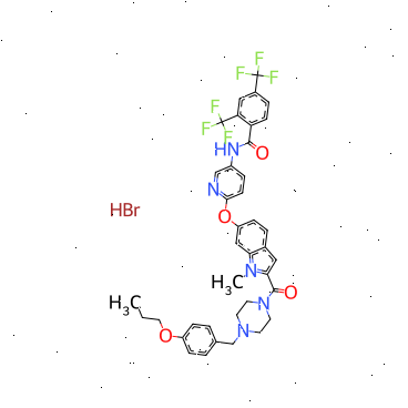 Br.CCCOc1ccc(CN2CCN(C(=O)c3cc4ccc(Oc5ccc(NC(=O)c6ccc(C(F)(F)F)cc6C(F)(F)F)cn5)cc4n3C)CC2)cc1